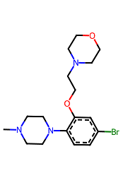 CN1CCN(c2ccc(Br)cc2OCCN2CCOCC2)CC1